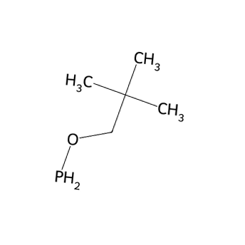 CC(C)(C)COP